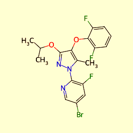 Cc1c(Oc2c(F)cccc2F)c(OC(C)C)nn1-c1ncc(Br)cc1F